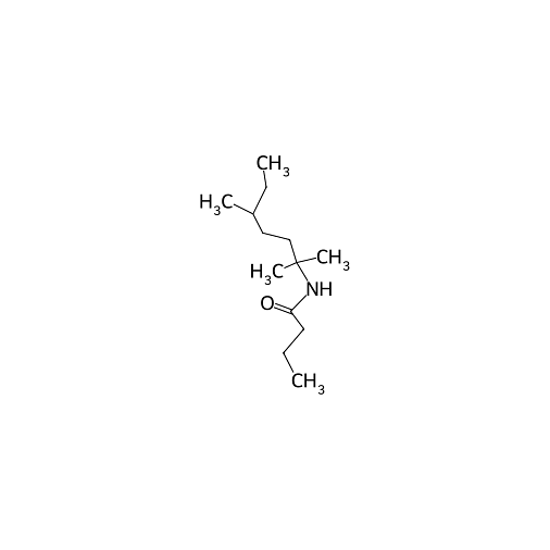 CCCC(=O)NC(C)(C)CCC(C)CC